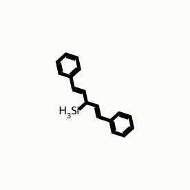 [SiH3]C(C=Cc1ccccc1)C=Cc1ccccc1